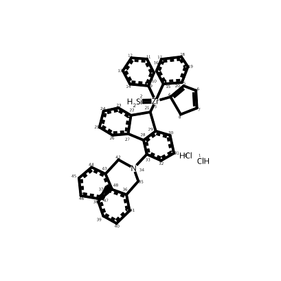 Cl.Cl.[SiH2]=[Zr]([C]1=CC=CC1)([c]1ccccc1)([c]1ccccc1)[CH]1c2ccccc2-c2c1cccc2N(Cc1ccccc1)Cc1ccccc1